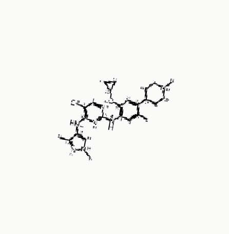 Cc1cc(Nc2ncc(Cl)c(Nc3cn(C)nc3C)n2)c(OC2CC2)cc1C1CCN(C)CC1